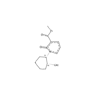 COC(=O)c1cccn([C@H]2CCCC[C@H]2O)c1=O